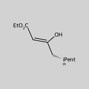 CCC[C@@H](C)CC(O)=CC(=O)OCC